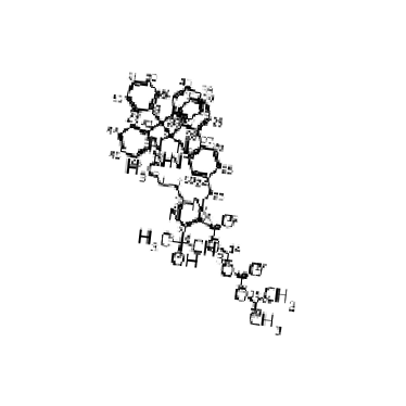 CCCc1nc(C(C)(C)O)c(C(=O)OCOC(=O)OC(C)C)n1Cc1ccc(-c2ccccc2C2(C(c3ccccc3)(c3ccccc3)c3ccccc3)N=NN=N2)cc1